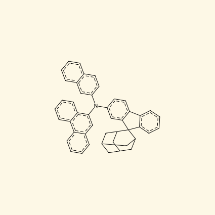 c1ccc2c(c1)-c1ccc(N(c3ccc4ccccc4c3)c3cc4ccccc4c4ccccc34)cc1C21C2CC3CC(C2)CC1C3